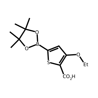 CCOc1cc(B2OC(C)(C)C(C)(C)O2)sc1C(=O)O